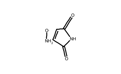 N[O].O=C1C=CC(=O)N1